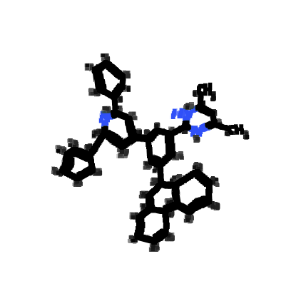 CC1=CC(C)=NC(c2cc(-c3cc(-c4ccccc4)nc(-c4ccccc4)c3)cc(C3C=c4ccccc4=C4C=CC=CC43)c2)N1